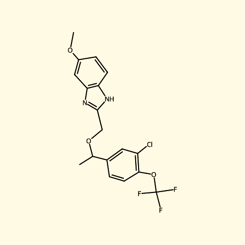 COc1ccc2[nH]c(COC(C)c3ccc(OC(F)(F)F)c(Cl)c3)nc2c1